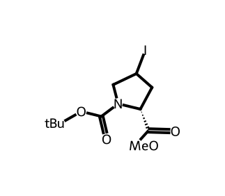 COC(=O)[C@H]1CC(I)CN1C(=O)OC(C)(C)C